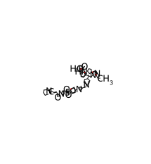 CCc1nccn1CC(c1cccc(F)c1)(C1CCN(CC2CN(c3ccc(S(=O)(=O)C4CN(C(=O)/C=C/CN5CCCCC5)C4)cc3)C2)CC1)[C@H]1CCC[C@@H]1NC(=O)O